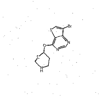 Brc1csc2c(OC3CCNCC3)ncnc12